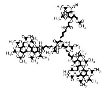 CC(=O)NC1[C@H](N=[N+]=[N-])OC(COC(C)=O)[C@@H](OCC(=O)NCCCC[C@H](NC(=O)[C@H](CSCC(=O)N[C@@H]2OC(COC(C)=O)[C@@H](O[C@@H]3OC(COC(C)=O)[C@H](OC(C)=O)[C@H](OC(C)=O)C3OC(C)=O)[C@H](OC(C)=O)C2NC(C)=O)NC(C)=O)C(=O)N[C@@H](CSCC(=O)N[C@@H]2OC(COC(C)=O)[C@@H](O[C@@H]3OC(COC(C)=O)[C@H](OC(C)=O)[C@H](OC(C)=O)C3OC(C)=O)[C@H](OC(C)=O)C2NC(C)=O)C(N)=O)[C@@H]1OC(C)=O